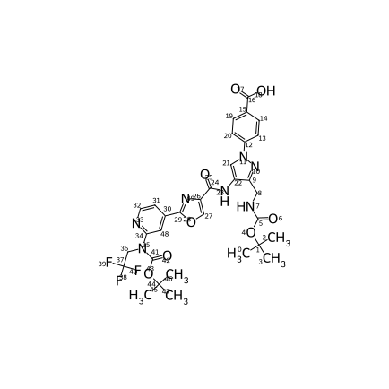 CC(C)(C)OC(=O)NCc1nn(-c2ccc(C(=O)O)cc2)cc1NC(=O)c1coc(-c2ccnc(N(CC(F)(F)F)C(=O)OC(C)(C)C)c2)n1